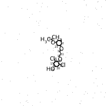 CC(C)Oc1cccc(OCCCOc2c(Cl)cc(O)cc2Cl)c1